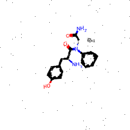 CC[C@H](C)[C@@H](C(N)=O)N(C(=O)[C@@H](N)Cc1ccc(O)cc1)c1ccccc1